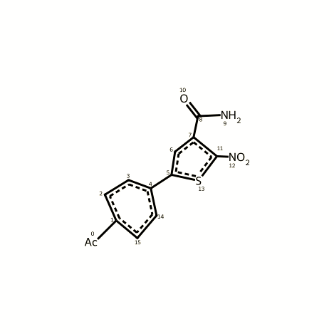 CC(=O)c1ccc(-c2cc(C(N)=O)c([N+](=O)[O-])s2)cc1